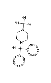 [2H]C([2H])([2H])N1CCN(C([2H])(c2ccccc2)c2ccccc2)CC1